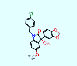 O=C1N(Cc2ccc(Cl)cc2)c2ccc(OC(F)(F)F)cc2C1(O)c1ccc2c(c1)OCO2